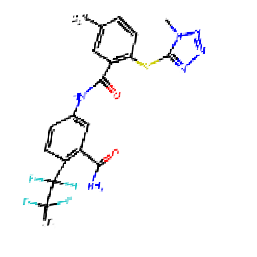 Cn1nnnc1Sc1ccc([N+](=O)[O-])cc1C(=O)Nc1ccc(C(F)(F)C(F)(F)C(F)(F)F)c(C(N)=O)c1